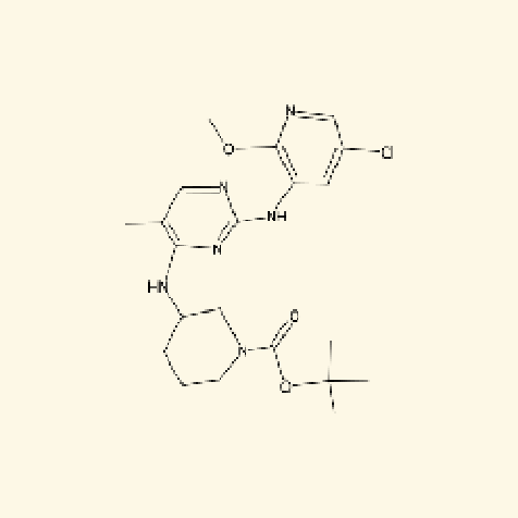 COc1ncc(Cl)cc1Nc1ncc(C)c(NC2CCCN(C(=O)OC(C)(C)C)C2)n1